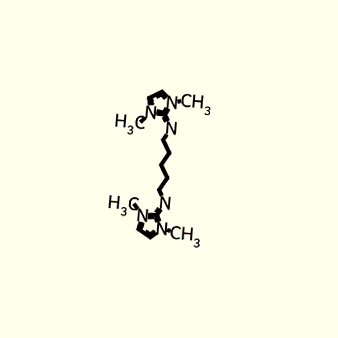 Cn1ccn(C)c1=NCCCCCN=c1n(C)ccn1C